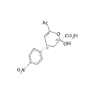 CCOC(=O)[C@]1(O)C[C@H](c2ccc([N+](=O)[O-])cc2)C=C(C(C)=O)O1